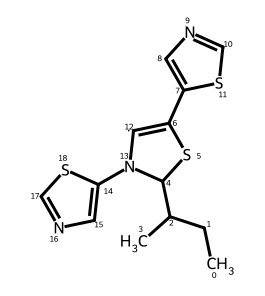 CCC(C)C1SC(c2cncs2)=[C]N1c1cncs1